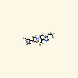 Cc1cc(C2CCN(c3ccn4c(CC5CC5)nnc4c3C(F)(F)F)CC2)ccn1